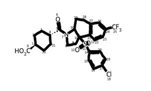 O=C(O)[C@H]1CC[C@H](C(=O)N2CCC3(S(=O)(=O)c4ccc(Cl)cc4)c4ccc(C(F)(F)F)cc4CCC23)CC1